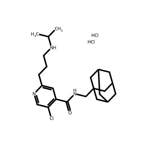 CC(C)NCCCc1cc(C(=O)NCC23CC4CC(CC(C4)C2)C3)c(Cl)cn1.Cl.Cl